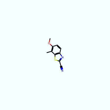 COc1ccc2nc(C#N)sc2c1C